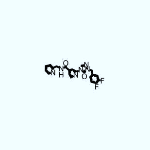 O=C(NCc1ccccn1)c1ccnc(-n2cnn(Cc3ccc(F)c(F)c3)c2=O)c1